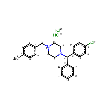 CC(C)(C)c1ccc(CN2CCN(C(c3ccccc3)c3ccc(Cl)cc3)CC2)cc1.Cl.Cl